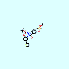 CCOP(C)(=O)Cc1ccc(C(=O)N(NC(=O)OC(C)(C)C)c2cccc(-c3cccs3)c2)cc1